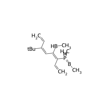 C=C\C(=C/C(BC)=C(C=C)/[PH](C)=B\C)C(C)(C)C